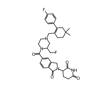 CC1(C)CCC(CN2CCN(C(=O)c3ccc4c(c3)CN(C3CCC(=O)NC3=O)C4=O)C(CF)C2)=C(c2ccc(F)cc2)C1